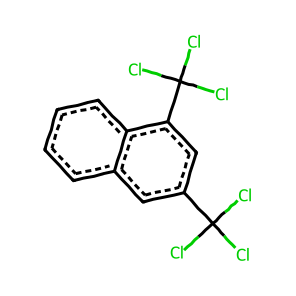 ClC(Cl)(Cl)c1cc(C(Cl)(Cl)Cl)c2ccccc2c1